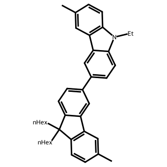 CCCCCCC1(CCCCCC)c2ccc(C)cc2-c2cc(-c3ccc4c(c3)c3cc(C)ccc3n4CC)ccc21